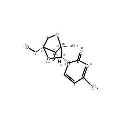 Nc1ccn([C@@H]2O[C@@]3(CO)CO[C@@H]2[C@H]3O)c(=O)n1